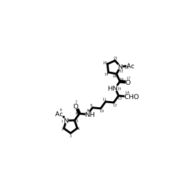 CC(=O)N1CCCC1C(=O)NCCCCC(C=O)NC(=O)C1CCCN1C(C)=O